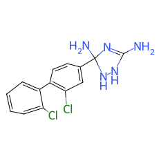 NC1=NC(N)(c2ccc(-c3ccccc3Cl)c(Cl)c2)NN1